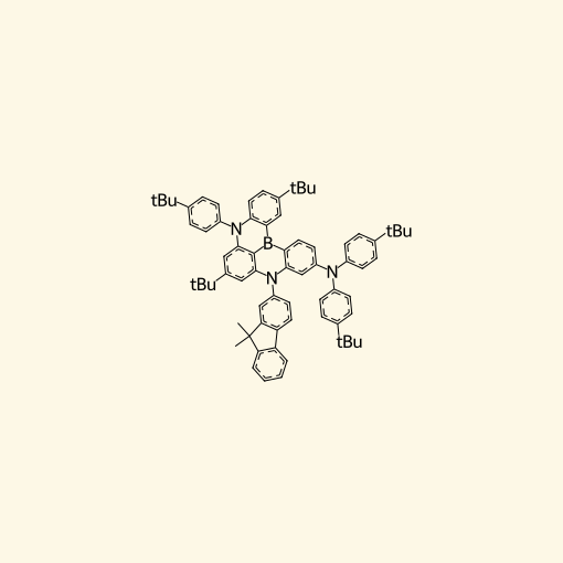 CC(C)(C)c1ccc(N(c2ccc(C(C)(C)C)cc2)c2ccc3c(c2)N(c2ccc4c(c2)C(C)(C)c2ccccc2-4)c2cc(C(C)(C)C)cc4c2B3c2cc(C(C)(C)C)ccc2N4c2ccc(C(C)(C)C)cc2)cc1